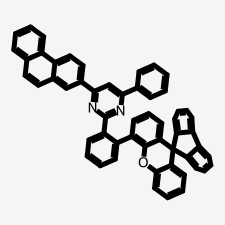 c1ccc(-c2cc(-c3ccc4c(ccc5ccccc54)c3)nc(-c3ccccc3-c3cccc4c3Oc3ccccc3C43c4ccccc4-c4ccccc43)n2)cc1